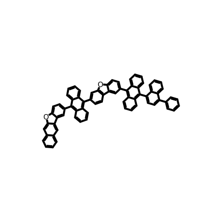 c1ccc(-c2ccc(-c3c4ccccc4c(-c4ccc5oc6cc(-c7c8ccccc8c(-c8ccc9oc%10cc%11ccccc%11cc%10c9c8)c8ccccc78)ccc6c5c4)c4ccccc34)c3ccccc23)cc1